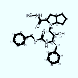 CC(C)(C)NC(=O)C1CC2CCCC2N1C[C@@H](O)[C@H](Cc1ccccc1)NC(=O)OCc1ccccc1